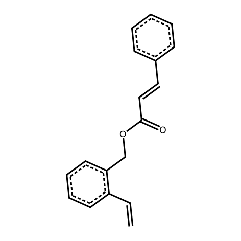 C=Cc1ccccc1COC(=O)C=Cc1ccccc1